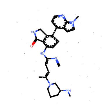 C=N/C(=C\C=C(/C)N1CCC[C@H](NC)C1)Nc1ccc(-c2ccnc3c2ccn3C)c2c1C(=O)NC2